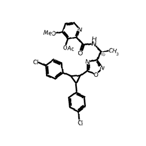 COc1ccnc(C(=O)N[C@@H](C)c2noc(C3C(c4ccc(Cl)cc4)C3c3ccc(Cl)cc3)n2)c1OC(C)=O